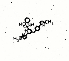 Cn1ccc(-c2ccc(Cc3cc(C(=O)N[C@H]4CCCC[C@@H]4O)nc(-c4ccn(C)n4)c3)cc2)n1